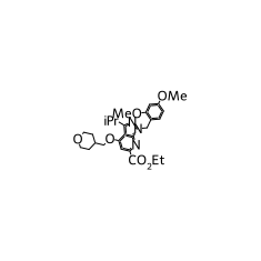 CCOC(=O)c1cc(OCC2CCOCC2)c2c(C(C)C)nn(Cc3ccc(OC)cc3OC)c2n1